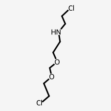 ClCCNCCOCOCCCl